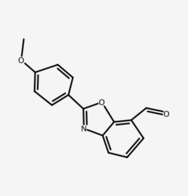 COc1ccc(-c2nc3cccc(C=O)c3o2)cc1